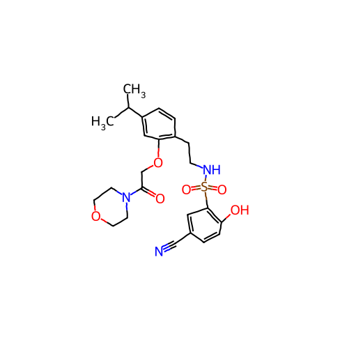 CC(C)c1ccc(CCNS(=O)(=O)c2cc(C#N)ccc2O)c(OCC(=O)N2CCOCC2)c1